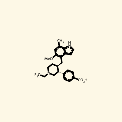 COc1cc(C)c2[nH]ccc2c1C[C@@H]1CCN(CC(F)(F)F)C[C@H]1c1ccc(C(=O)O)cc1